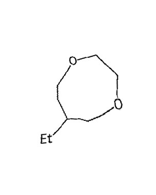 CCC1COCCOC1